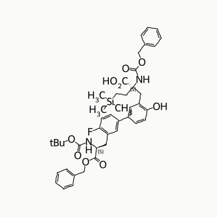 CC(C)(C)OC(=O)N[C@@H](Cc1cc(-c2ccc(O)c(C[C@@](CC[Si](C)(C)C)(NC(=O)OCc3ccccc3)C(=O)O)c2)ccc1F)C(=O)OCc1ccccc1